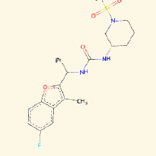 Cc1c(C(NC(=O)N[C@H]2CCCN(S(C)(=O)=O)C2)C(C)C)oc2ccc(F)cc12